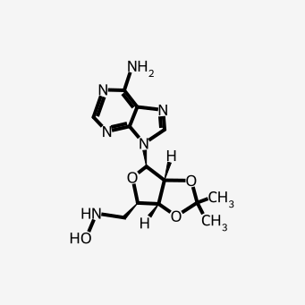 CC1(C)O[C@@H]2[C@H](O1)[C@@H](CNO)O[C@H]2n1cnc2c(N)ncnc21